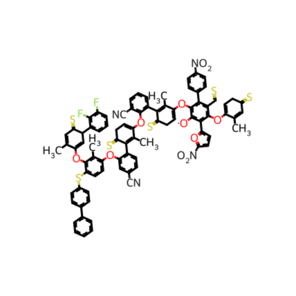 CC1=CC(=S)C(c2cccc(F)c2F)C=C1Oc1c(Sc2ccc(-c3ccccc3)cc2)ccc(Oc2cc(C#N)ccc2C2=C(C)C(Oc3c(C#N)cccc3C3=C(C)C(Oc4c([O])c(-c5ccc([N+](=O)[O-])o5)c(OC5=CCC(=S)C=C5C)c(C=S)c4-c4ccc([N+](=O)[O-])cc4)=CCC3=S)=CCC2=S)c1C